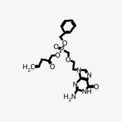 C=CCC(=O)COP(=O)(COCCn1cnc2c(=O)[nH]c(N)nc21)OCc1ccccc1